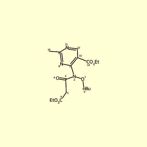 CCCCON(C(=O)CC(=O)OCC)c1nc(C)ncc1C(=O)OCC